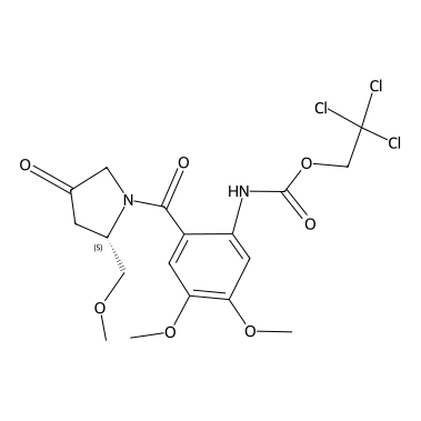 COC[C@@H]1CC(=O)CN1C(=O)c1cc(OC)c(OC)cc1NC(=O)OCC(Cl)(Cl)Cl